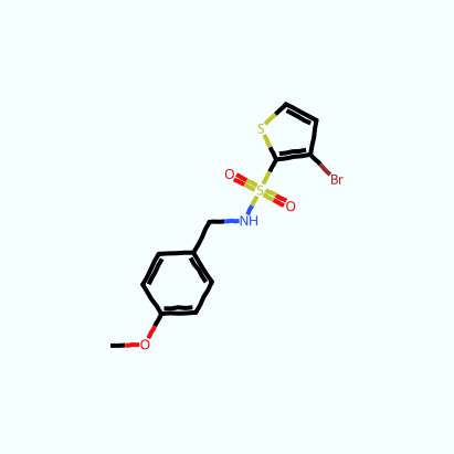 COc1ccc(CNS(=O)(=O)c2sccc2Br)cc1